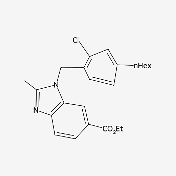 CCCCCCc1ccc(Cn2c(C)nc3ccc(C(=O)OCC)cc32)c(Cl)c1